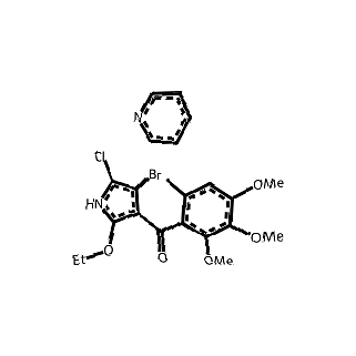 CCOc1[nH]c(Cl)c(Br)c1C(=O)c1c(C)cc(OC)c(OC)c1OC.c1ccncc1